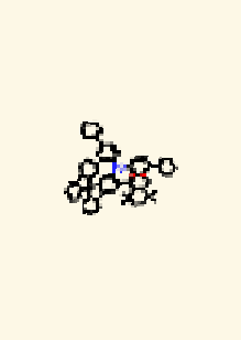 Cc1ccc2c(c1-c1cc3c(cc1N(c1ccc(-c4ccccc4)cc1)c1ccc(-c4ccccc4)cc1)C1(c4ccccc4-c4ccccc41)c1ccccc1-3)C(C)(C)CCC2(C)C